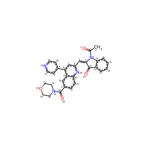 CC(=O)N1C(=Cc2cc(-c3ccncc3)c3cc(C(=O)N4CCOCC4)ccc3n2)C(=O)c2ccccc21